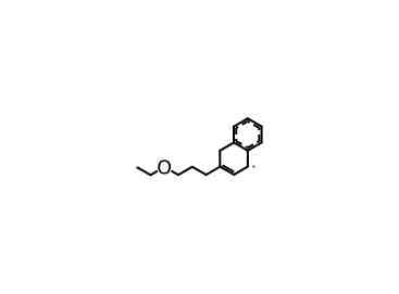 CCOCCCC1=C[CH]c2ccccc2C1